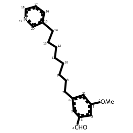 COc1cc(C=O)cc(CCCCCCCCc2cccnc2)c1